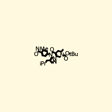 CNC(=O)c1ccc(-n2c(=O)c3c(n4ncc(CC(C)C)c24)CN(C(=O)OC(C)(C)C)C(C)C3)cc1